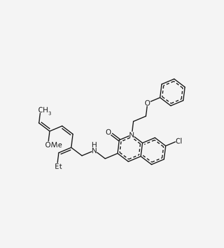 C\C=C(/C=C\C(=C\CC)CNCc1cc2ccc(Cl)cc2n(CCOc2ccccc2)c1=O)OC